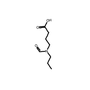 CCCN(C=O)CCCC(=O)O